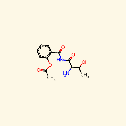 CC(=O)Oc1ccccc1C(=O)NC(=O)C(N)C(C)O